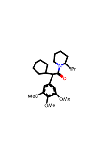 COc1cc(C(C(=O)N2CCCCC2C(C)C)C2CCCCC2)cc(OC)c1OC